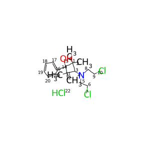 CC1(C)C(N(CCCl)CCCl)C(C)(C)C1(O)c1ccccc1.Cl